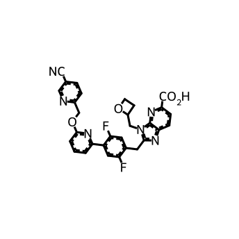 N#Cc1ccc(COc2cccc(-c3cc(F)c(Cc4nc5ccc(C(=O)O)nc5n4CC4CCO4)cc3F)n2)nc1